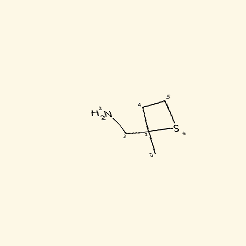 CC1(CN)CCS1